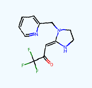 O=C(C=C1NCCN1Cc1ccccn1)C(F)(F)F